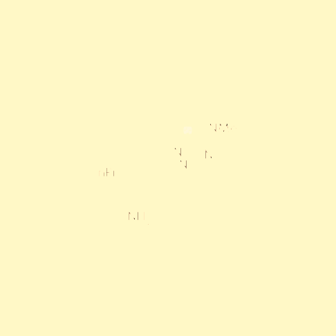 C=C/C=C1/C(NC)=NC=NN1CCCC(CCC)CCN